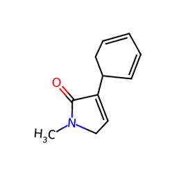 CN1CC=C(C2C=CC=CC2)C1=O